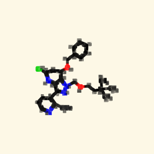 COc1ncccc1-c1nn(COCC[Si](C)(C)C)c2c(OCc3ccccc3)cc(Cl)nc12